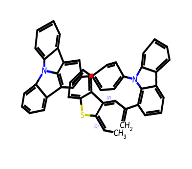 C=C(/C=c1\c(=C/C)sc2ccccc12)c1cccc2c3ccccc3n(-c3ccc(-c4cc5c6ccccc6n6c7ccccc7c(c4)c56)cc3)c12